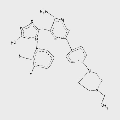 CCN1CCN(c2ccc(-c3cnc(N)c(-c4nnc(O)n4-c4cccc(F)c4F)n3)cc2)CC1